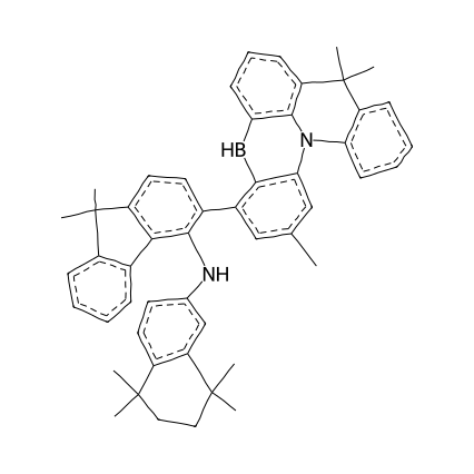 Cc1cc(-c2ccc3c(c2Nc2ccc4c(c2)C(C)(C)CCC4(C)C)-c2ccccc2C3(C)C)c2c(c1)N1c3ccccc3C(C)(C)c3cccc(c31)B2